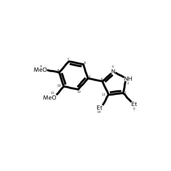 CCc1[nH]nc(-c2ccc(OC)c(OC)c2)c1CC